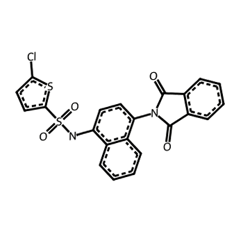 O=C1c2ccccc2C(=O)N1c1ccc([N]S(=O)(=O)c2ccc(Cl)s2)c2ccccc12